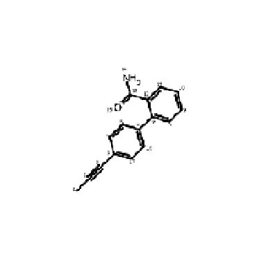 CC#Cc1ccc(-c2ccccc2C(N)=O)cc1